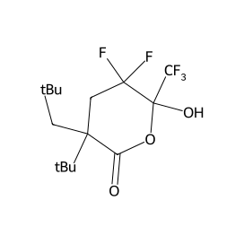 CC(C)(C)CC1(C(C)(C)C)CC(F)(F)C(O)(C(F)(F)F)OC1=O